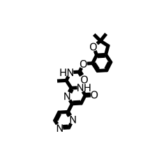 CC(NC(=O)Oc1cccc2c1OC(C)(C)C2)c1nc(-c2ccncn2)cc(=O)[nH]1